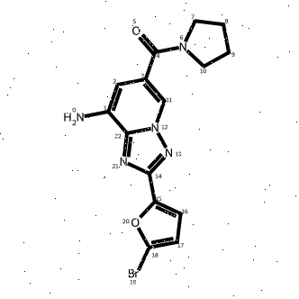 Nc1cc(C(=O)N2CCCC2)cn2nc(-c3ccc(Br)o3)nc12